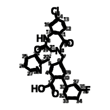 O=C(O)c1ccc(CN2C(=O)c3ccc(Cl)cc3NC(=O)[C@H]2Cc2ccccn2)cc1-c1cccc(F)c1